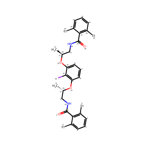 CCc1cccc(CC)c1C(=O)NC[C@H](C)Oc1cccc(O[C@@H](C)CNC(=O)c2c(CC)cccc2CC)c1I